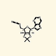 CC1(C)O[C@H]2[C@H](O1)[C@@H](CN=[N+]=[N-])O[C@H]2n1cnc2cncnc21